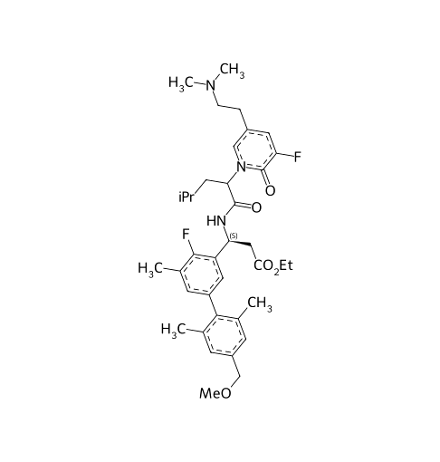 CCOC(=O)C[C@H](NC(=O)C(CC(C)C)n1cc(CCN(C)C)cc(F)c1=O)c1cc(-c2c(C)cc(COC)cc2C)cc(C)c1F